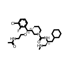 CNC[C@H](CC1CCCCC1)NC(=O)N1CCC[C@@H]([C@H](OCCNC(C)=O)c2cccc(Cl)c2F)C1